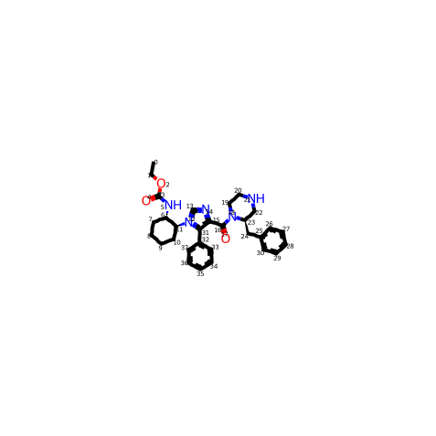 CCOC(=O)N[C@H]1CCCC[C@@H]1n1cnc(C(=O)N2CCNC[C@H]2Cc2ccccc2)c1-c1ccccc1